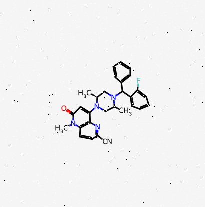 CC1CN(c2cc(=O)n(C)c3ccc(C#N)nc23)[C@@H](C)CN1C(c1ccccc1)c1ccccc1F